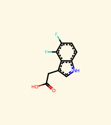 O=C(O)Cc1c[nH]c2ccc(F)c(F)c12